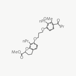 CCCc1c(OCCCOc2ccc(C(=O)C(C)C)c(OC)c2CCC)ccc2c1OC(C(=O)OC)CC2